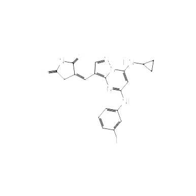 O=C1CC(=Cc2cnn3c(NC4CC4)cc(Nc4cccc(F)c4)nc23)C(=O)N1